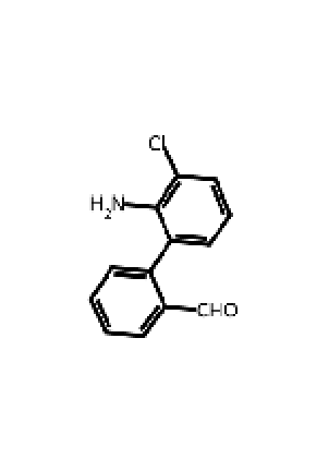 Nc1c(Cl)cccc1-c1ccccc1C=O